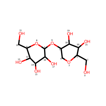 OCC1O[CH]C(OC2OC(CO)C(O)C(O)C2O)C(O)C1O